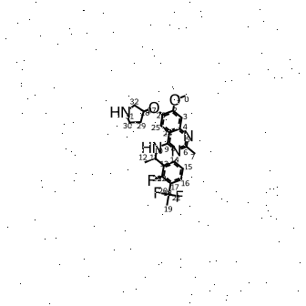 COc1cc2nc(C)nc(N[C@H](C)c3cccc(C(C)(F)F)c3F)c2cc1OC1CCNC1